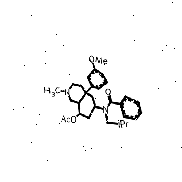 COc1cccc(C23CCN(C)CC2C(OC(C)=O)CC(N(CC(C)C)C(=O)c2ccccc2)C3)c1